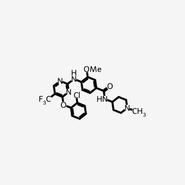 COc1cc(C(=O)NC2CCN(C)CC2)ccc1Nc1ncc(C(F)(F)F)c(Oc2ccccc2Cl)n1